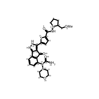 COCC1CCCN1NC(=O)c1ccc(-c2[nH]nc3c2C(=O)c2c-3cccc2N(C(N)=O)N2CCOCC2)s1